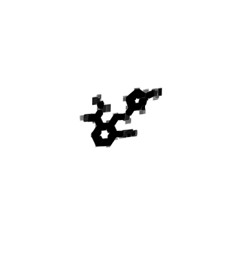 CSc1cccc(C(=O)NBr)c1COc1ccn(S)n1